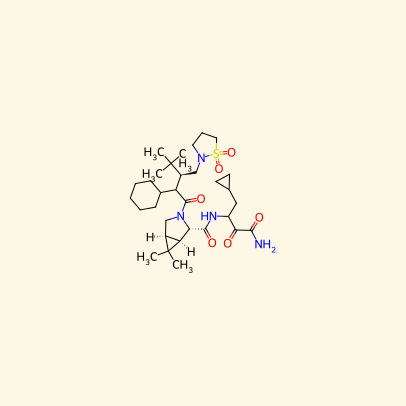 CC(C)(C)[C@@H](CN1CCCS1(=O)=O)C(C(=O)N1C[C@H]2[C@@H]([C@H]1C(=O)NC(CC1CC1)C(=O)C(N)=O)C2(C)C)C1CCCCC1